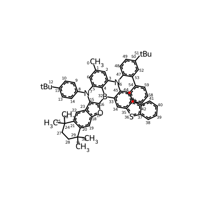 Cc1cc2c3c(c1)N(c1ccc(C(C)(C)C)cc1)c1c(oc4cc5c(cc14)C(C)(C)CCC5(C)C)B3c1cc3sc4ccccc4c3cc1N2c1ccc(C(C)(C)C)cc1-c1ccccc1